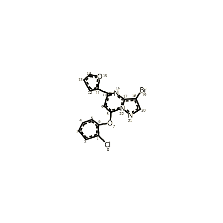 Clc1ccccc1Oc1cc(-c2ccco2)nc2c(Br)cnn12